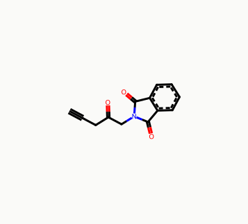 C#CCC(=O)CN1C(=O)c2ccccc2C1=O